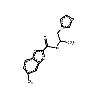 O=C(NC(Cn1ccnc1)C(=O)O)c1nc2ccc(C(F)(F)F)cc2s1